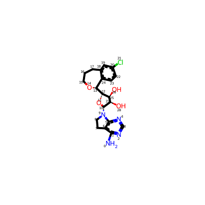 Nc1ncnc2c1CCN2[C@@H]1O[C@H]([C@@H]2OCCCc3cc(Cl)ccc32)[C@@H](O)[C@H]1O